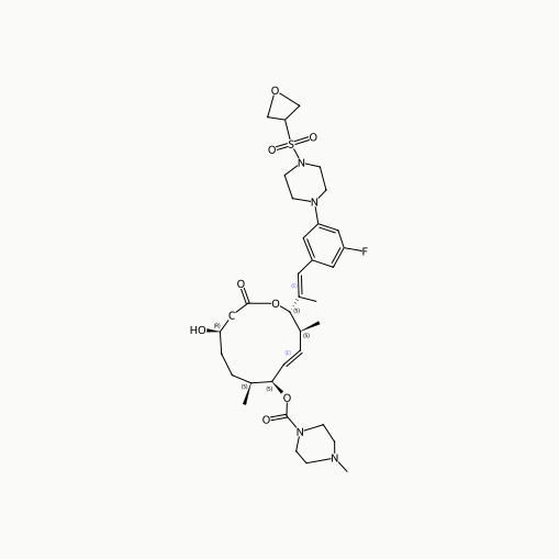 C/C(=C\c1cc(F)cc(N2CCN(S(=O)(=O)C3COC3)CC2)c1)[C@H]1OC(=O)C[C@H](O)CC[C@H](C)[C@H](OC(=O)N2CCN(C)CC2)/C=C/[C@@H]1C